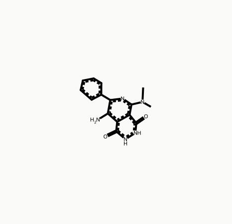 CN(C)c1nc(-c2ccccc2)c(N)c2c(=O)[nH][nH]c(=O)c12